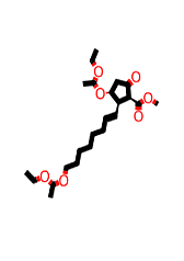 CCOC(C)OCCCCCCC=C[C@@H]1[C@H](C(=O)OC)C(=O)C[C@H]1OC(C)OCC